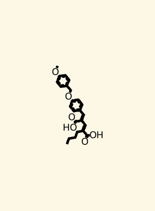 CCCCC(=CC(=Cc1ccc(OCc2ccc(OC)cc2)cc1)C(=O)O)C(=O)O